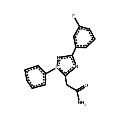 NC(=O)Cc1nc(-c2cccc(F)c2)nn1-c1ccccc1